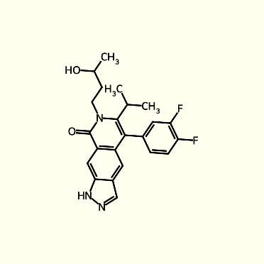 CC(O)CCn1c(C(C)C)c(-c2ccc(F)c(F)c2)c2cc3cn[nH]c3cc2c1=O